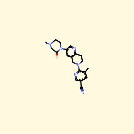 Cc1cc(C#N)cnc1N1CCc2ncc(N3CCN(C)CC3=O)cc2C1